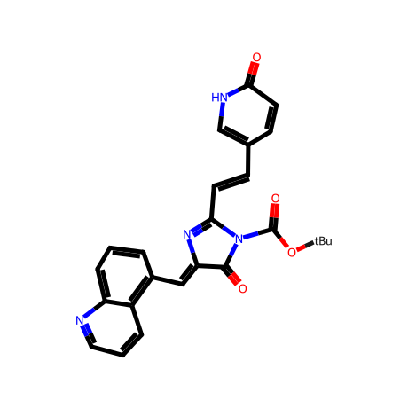 CC(C)(C)OC(=O)N1C(=O)/C(=C/c2cccc3ncccc23)N=C1/C=C/c1ccc(=O)[nH]c1